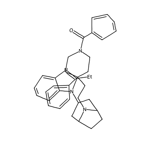 CCc1nc2ccccc2n1C1CC2CCC(C1)N2CCC1(c2ccccc2)CCN(C(=O)c2ccccc2)CC1